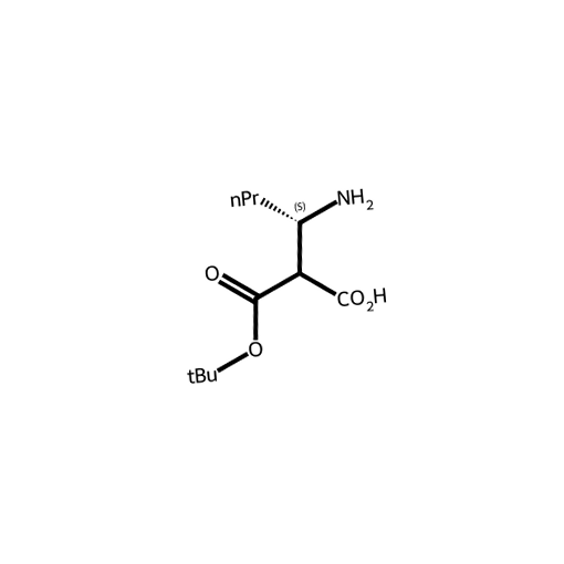 CCC[C@H](N)C(C(=O)O)C(=O)OC(C)(C)C